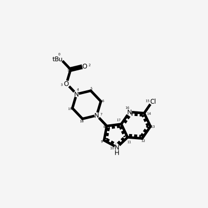 CC(C)(C)C(=O)ON1CCN(c2c[nH]c3ccc(Cl)nc23)CC1